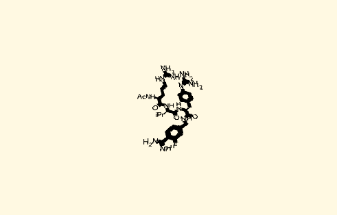 CC(=O)N[C@@H](CCCNC(=N)N)C(=O)N[C@H](C(=O)N[C@@H](Cc1ccc(N=C(N)N)cc1)C(=O)NCc1ccc(C(=N)N)c(F)c1)C(C)C